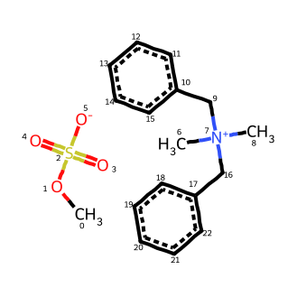 COS(=O)(=O)[O-].C[N+](C)(Cc1ccccc1)Cc1ccccc1